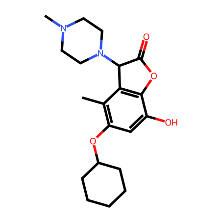 Cc1c(OC2CCCCC2)cc(O)c2c1C(N1CCN(C)CC1)C(=O)O2